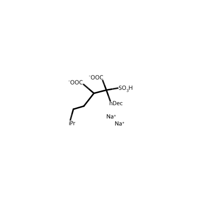 CCCCCCCCCCC(C(=O)[O-])(C(CCC(C)C)C(=O)[O-])S(=O)(=O)O.[Na+].[Na+]